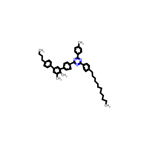 CCCCCCCCCCCCc1ccc(-c2nc(-c3ccc(C)cc3)nc(-c3ccc(-c4cc(-c5ccc(CCCC)cc5)cc(C)c4C)cc3)n2)cc1